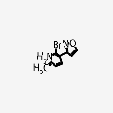 C=C/C=C\C(=C(/N)Br)c1ccon1